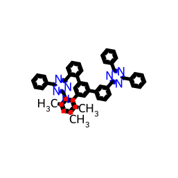 Cc1cc(C)c(C)c(-c2cc(-c3cccc(-c4nc(-c5ccccc5)nc(-c5ccccc5)n4)c3)cc(-c3ccccc3-c3nc(-c4ccccc4)nc(-c4ccccc4)n3)c2)n1